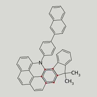 CC1(C)c2ccccc2-c2c(N(c3ccc(-c4ccc5ccccc5c4)cc3)c3cccc4ccc5ccc6ccccc6c5c34)cccc21